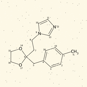 Cc1ccc(CC2(CCn3ccnc3)OCCO2)cc1